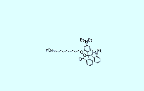 CCCCCCCCCCCCCCCCCCOc1cc(N(CC)CC)ccc1C1(c2c(C)n(CC)c3ccccc23)OC(=O)c2ccccc21